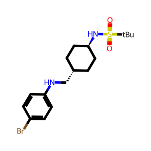 CC(C)(C)S(=O)(=O)N[C@H]1CC[C@H](CNc2ccc(Br)cc2)CC1